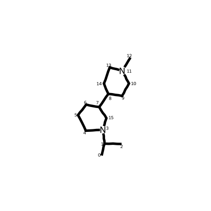 CC(C)N1CCCC(C2CCN(C)CC2)C1